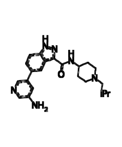 CC(C)CN1CCC(NC(=O)c2n[nH]c3ccc(-c4cncc(N)c4)cc23)CC1